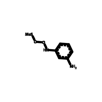 CSOONc1cccc(N)c1